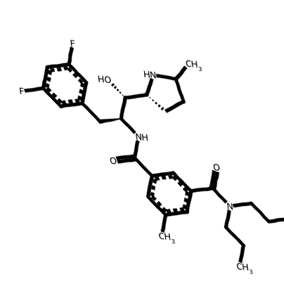 CCCN(CCC)C(=O)c1cc(C)cc(C(=O)N[C@@H](Cc2cc(F)cc(F)c2)[C@H](O)[C@H]2CCC(C)N2)c1